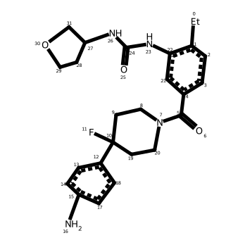 CCc1ccc(C(=O)N2CCC(F)(c3ccc(N)cc3)CC2)cc1NC(=O)NC1CCOC1